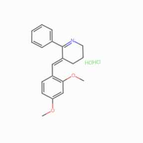 COc1ccc(C=C2CCCN=C2c2ccccc2)c(OC)c1.Cl.Cl